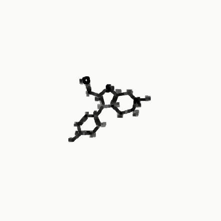 Cc1ccc(-c2c(C=O)sc3c2CCN(C)C3)cc1